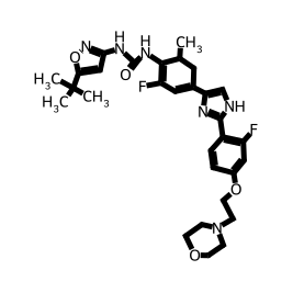 CC1CC(c2c[nH]c(-c3ccc(OCCN4CCOCC4)cc3F)n2)=CC(F)=C1NC(=O)Nc1cc(C(C)(C)C)on1